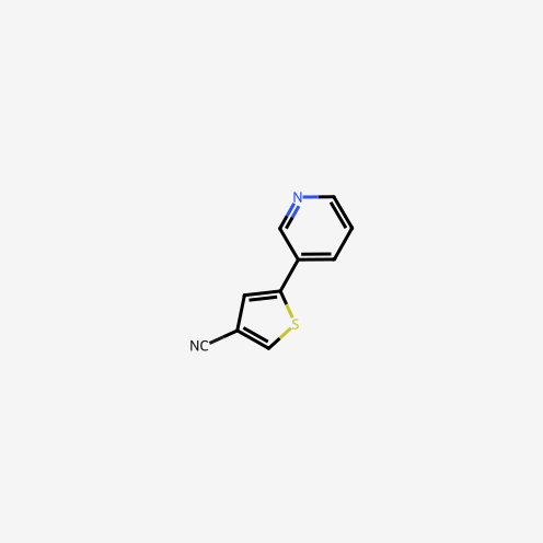 N#Cc1csc(-c2cccnc2)c1